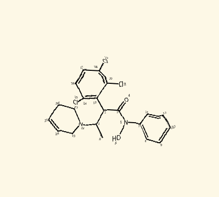 CC(C(C(=O)N(O)c1ccccc1)c1c(Cl)ccc(Cl)c1Cl)N1CC=CCC1